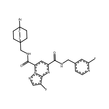 CC(=O)C12CCC(CNC(=O)c3cc(C(=O)NCc4ccnc(F)c4)nc4c(F)cnn34)(CC1)CC2